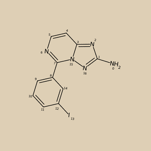 Nc1nc2ccnc(-c3cccc(I)c3)n2n1